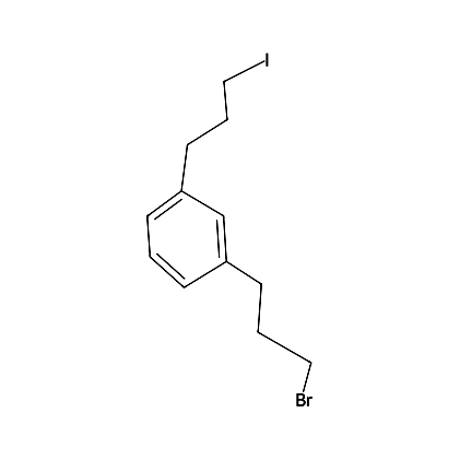 BrCCCc1cccc(CCCI)c1